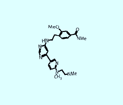 CNCCN(C)c1ccc(-c2cc(NCCc3ccc(C(=O)NC)cc3OC)ncn2)cn1